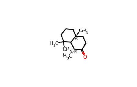 C[C@H]1C(=O)CC[C@@]2(C)CCCC(C)(C)C12